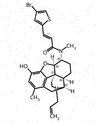 C=CCN1CC[C@]23c4c5c(C)cc(O)c4O[C@H]2[C@H](N(C)C(=O)/C=C/c2cc(Br)cs2)CC[C@H]3[C@H]1C5